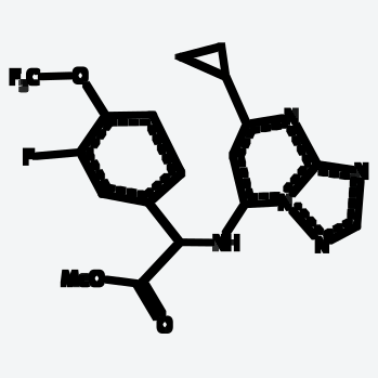 COC(=O)C(Nc1cc(C2CC2)nc2ncnn12)c1ccc(OC(F)(F)F)c(F)c1